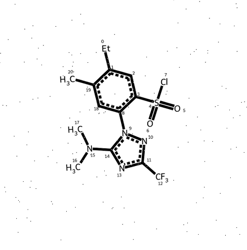 CCc1cc(S(=O)(=O)Cl)c(-n2nc(C(F)(F)F)nc2N(C)C)cc1C